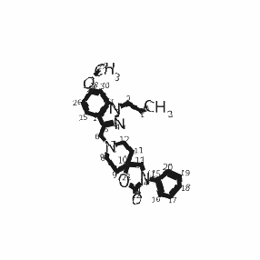 CCCn1nc(CN2CCC3(CC2)CN(c2ccccc2)C(=O)O3)c2ccc(OC)cc21